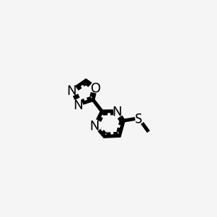 CSc1ccnc(-c2nnco2)n1